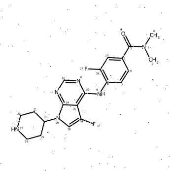 CN(C)C(=O)c1ccc(Nc2ncnc3c2c(F)cn3C2CCNCC2)c(F)c1